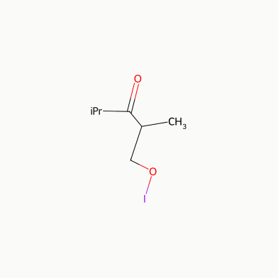 CC(C)C(=O)C(C)COI